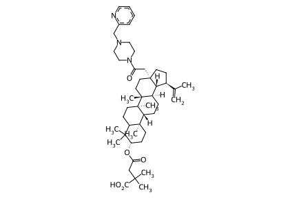 C=C(C)[C@@H]1CC[C@]2(CC(=O)N3CCN(Cc4ccccn4)CC3)CC[C@]3(C)[C@H](CC[C@@H]4[C@@]5(C)CC[C@H](OC(=O)CC(C)(C)C(=O)O)C(C)(C)C5CC[C@]43C)[C@@H]12